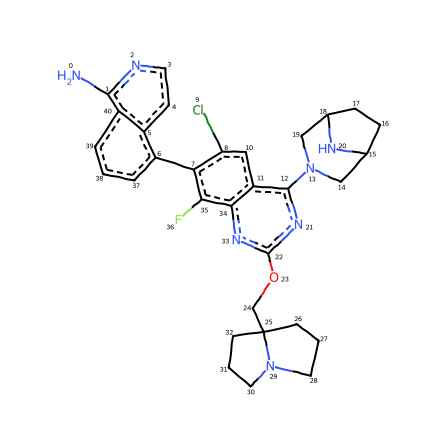 Nc1nccc2c(-c3c(Cl)cc4c(N5CC6CCC(C5)N6)nc(OCC56CCCN5CCC6)nc4c3F)cccc12